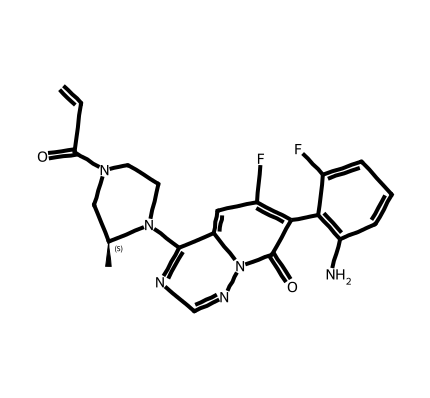 C=CC(=O)N1CCN(c2ncnn3c(=O)c(-c4c(N)cccc4F)c(F)cc23)[C@@H](C)C1